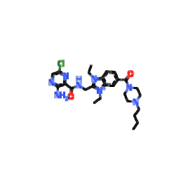 CCCCN1CCN(C(=O)c2ccc3c(c2)[n+](CC)c(CNC(=O)c2nc(Cl)cnc2N)n3CC)CC1